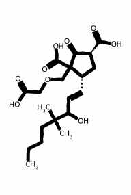 CCCCC(C)(C)C(O)C=C[C@H]1C[C@H](C(=O)O)C(=O)C1(COCC(=O)O)C(=O)O